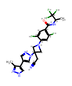 Cc1n[nH]cc1-c1cnn(C2(CC#N)CN(c3cc(F)c(C(=O)NC(C)C(F)(F)F)cc3F)C2)c1